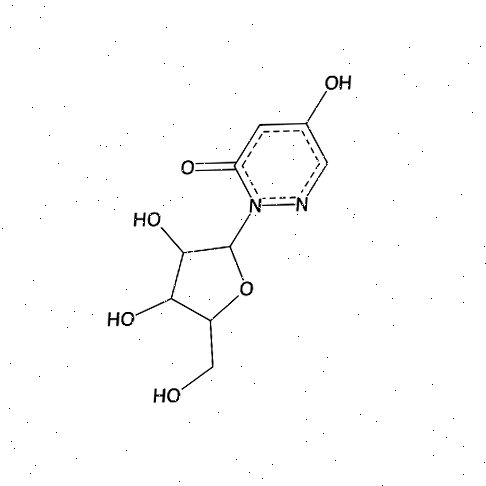 O=c1cc(O)cnn1C1OC(CO)C(O)C1O